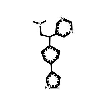 CN(C)CC(c1ccc(-c2cn[nH]c2)cc1)c1cncnc1